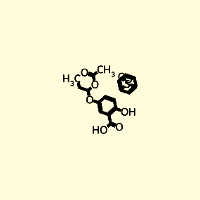 CCC(OC(C)=O)Oc1ccc(O)c(C(=O)O)c1.O=S1(=O)c2cccc1c2